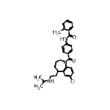 Cc1ccccc1C(=O)Nc1ccc(C(=O)N2CCCC(CCNC(C)C)c3cc(Cl)ccc32)cc1